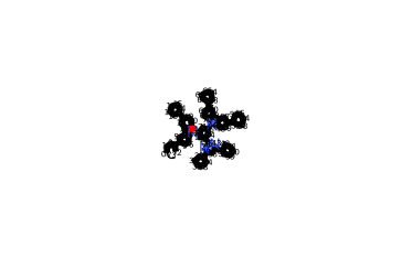 c1ccc(-c2ccc3c(c2)c2cc(-c4ccccc4)ccc2n3-c2cc(-c3nc(-c4ccccc4)cc(-c4ccccc4)n3)cc(-n3c4ccc(-c5ccccc5)cc4c4cc(-c5ccccc5)ccc43)c2)cc1